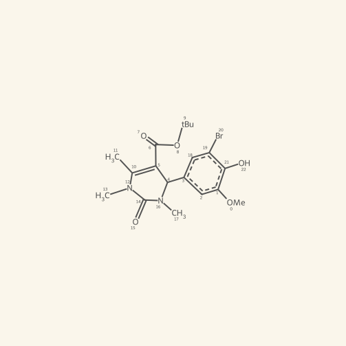 COc1cc(C2C(C(=O)OC(C)(C)C)=C(C)N(C)C(=O)N2C)cc(Br)c1O